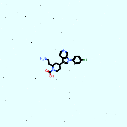 NCCC1CC(c2cn(-c3ccc(Cl)cc3)c3cnccc23)CCN1C(=O)O